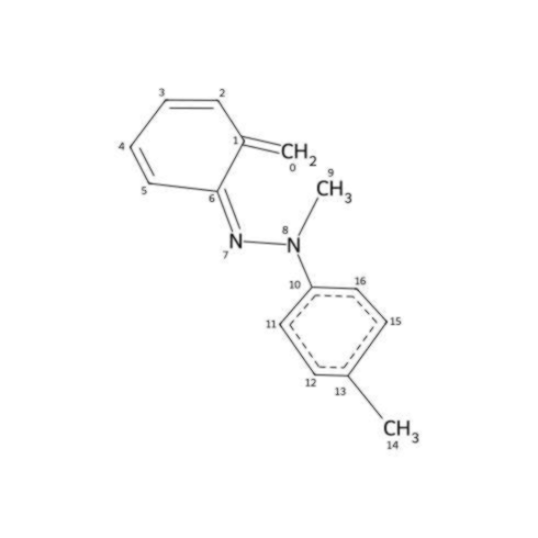 C=C1C=CC=C/C1=N/N(C)c1ccc(C)cc1